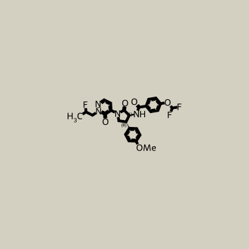 COc1ccc([C@@H]2CN(c3ccnn(CC(C)F)c3=O)C(=O)[C@H]2NC(=O)c2ccc(OC(F)F)cc2)cc1